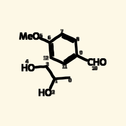 CC(O)CO.COc1ccc(C=O)cc1